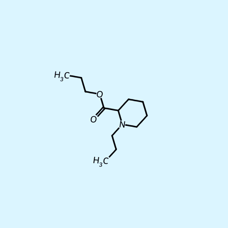 CCCOC(=O)C1CCCCN1CCC